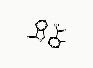 Cc1ccccc1C(=O)O.O=C1OCc2ccccc21